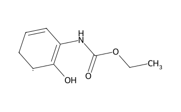 CCOC(=O)NC1=C(O)[CH]CC=C1